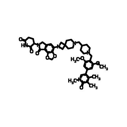 COc1cc(-c2cn(C)c(=O)c(C)c2C)cc(OC)c1CN1CCC(CN2CCC3(CC2)CN(c2cc4c(c5c2OCO5)C(=O)N(C2CCC(=O)NC2=O)C4)C3)CC1